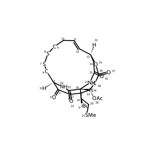 CCC(C)[C@H]1NC(=O)[C@H]2CSSCC/C=C/[C@H](CC(=O)N[C@H](CCSC)C(=O)N2)OC(=O)C[C@@H]1OC(C)=O